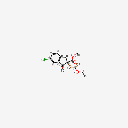 CCOC(=S)SC1(C(=O)OC)Cc2ccc(F)cc2C1=O